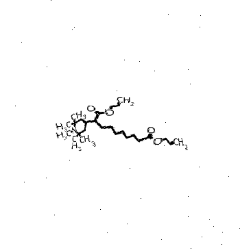 C=CCOC(=O)CCCCCCCC(C(=O)OCC=C)C1CC(C)(C)N(C)C(C)(C)C1